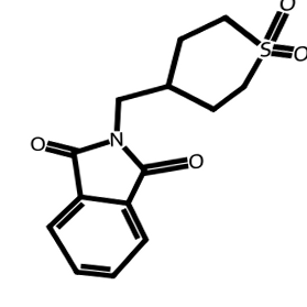 O=C1c2ccccc2C(=O)N1CC1CCS(=O)(=O)CC1